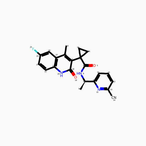 Cc1c(C2(C(=O)N[C@H](C)c3cccc(C#N)n3)CC2)c(=O)[nH]c2ccc(F)cc12